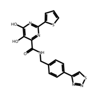 O=C(NCc1ccc(-c2csnn2)cc1)c1nc(-c2cccs2)nc(O)c1O